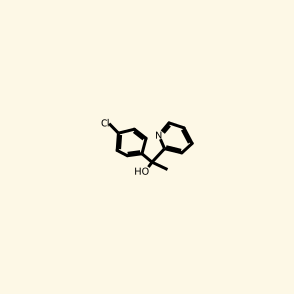 CC(O)(c1ccc(Cl)cc1)c1ccccn1